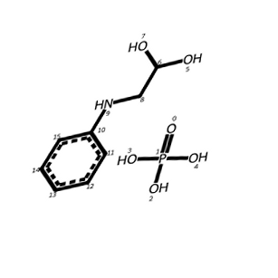 O=P(O)(O)O.OC(O)CNc1ccccc1